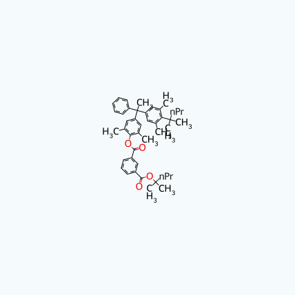 CCCC(C)(C)OC(=O)c1cccc(C(=O)Oc2c(C)cc(C(C)(c3ccccc3)c3cc(C)c(C(C)(C)CCC)c(C)c3)cc2C)c1